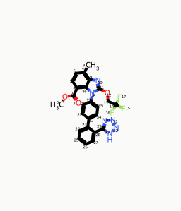 COC(=O)c1ccc(C)c2nc(OCC(F)(F)F)n(-c3ccc(-c4ccccc4-c4nnn[nH]4)cc3)c12